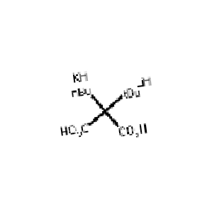 CCCCC(C(=O)O)(C(=O)O)C(C)(C)C.[KH].[LiH]